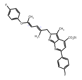 CCOC(=O)c1cc(-c2ccc(F)cc2)nc2nn(C/C(C)=C/C=C(\C)Oc3ccc(F)cc3)c(C)c12